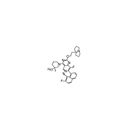 C#Cc1c(F)ccc2cccc(-c3ncc4c(N5CCC[C@@](C)(O)C5)nc(OCCC56CCCN5CCC6)nc4c3F)c12